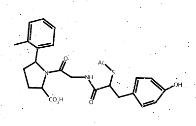 CC(=O)SC(Cc1ccc(O)cc1)C(=O)NCC(=O)N1C(C(=O)O)CCC1c1ccccc1C